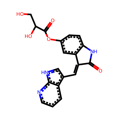 O=C1Nc2ccc(OC(=O)C(O)CO)cc2/C1=C\c1c[nH]c2ncccc12